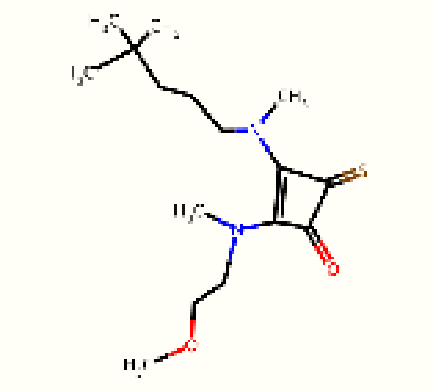 COCCN(C)c1c(N(C)CCCC(C)(C)C)c(=S)c1=O